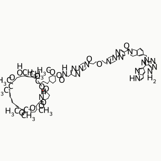 CO[C@H]1CC2CC[C@@H](C)C(O2)C(=O)C(=O)N2CCCC[C@H]2C(=O)O[C@H](CC[C@@H]2CC[C@@H](OC(=O)NCc3cnc(N4CCN(C(=O)CCOCCN5CCN(c6ncc(C(=O)N7CCc8cc(Cn9nc(-c%10cnc%11[nH]ccc%11c%10)c%10c(N)ncnc%109)ccc8C7)cn6)CC5)CC4)nc3)[C@H](OC)C2)CC(=O)[C@H](C)/C=C(\C)[C@@H](O)CC(=O)[C@H](C)C[C@H](C)/C=C/C=C/C=C/1C